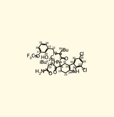 CCC(C)[C@H](NC(=O)[C@@]1(NC(=O)[C@H](C(C)CC)N(Cc2cccc(OC(F)(F)F)c2)C(=O)O)CCc2[nH]c3c(Cl)cc(Cl)cc3c2C1)C(N)=O